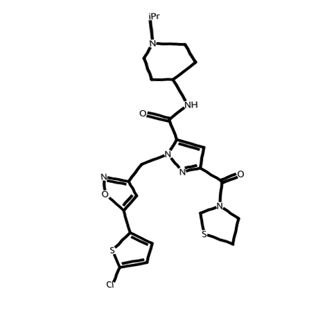 CC(C)N1CCC(NC(=O)c2cc(C(=O)N3CCSC3)nn2Cc2cc(-c3ccc(Cl)s3)on2)CC1